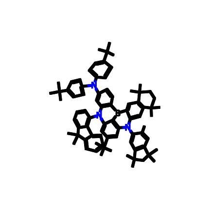 Cc1cc2c(cc1N1c3cc4c(cc3B3c5ccc(N(c6ccc(C(C)(C)C)cc6)c6ccc(C(C)(C)C)cc6)cc5N(c5cccc6c5-c5ccccc5C6(C)C)c5cc(C(C)(C)C)cc1c53)C(C)(C)CCC4(C)C)C(C)(C)CC2(C)C